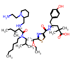 CCCCCCN(C(=O)[C@@H](NCC1CCCCN1CCN)[C@@H](C)CC)[C@H](C[C@@H](OCC)c1nc(C(=O)N[C@@H](Cc2ccc(O)cc2)CC(C)(C)C(=O)O)cs1)C(C)C